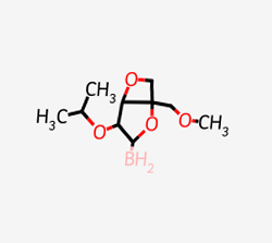 BC1OC2(COC)COC2C1OC(C)C